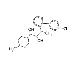 CC1CCN(C(O)C(O)C(C)c2ccccc2-c2ccc(Cl)cc2)CC1